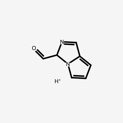 O=CC1N=Cc2cccn21.[H+]